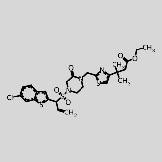 C=CC(c1cc2ccc(Cl)cc2s1)S(=O)(=O)N1CCN(Cc2nc(C(C)(C)CC(=O)OCC)cs2)C(=O)C1